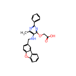 Cc1nc(-c2ccccc2)nc(OCC(=O)O)c1NCc1ccc2oc3ccccc3c2c1